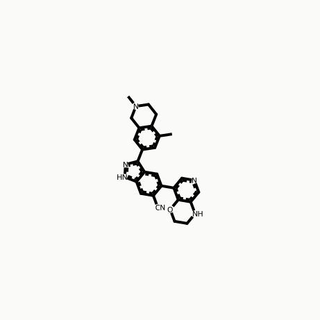 Cc1cc(-c2n[nH]c3cc(C#N)c(-c4cncc5c4OCCN5)cc23)cc2c1CCN(C)C2